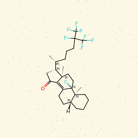 C[C@H](CCCC(F)(C(F)(F)F)C(F)(F)F)[C@H]1CC(=O)C2=C3CC[C@H]4CCCC[C@]4(C)[C@@]3(F)CC[C@@]21C